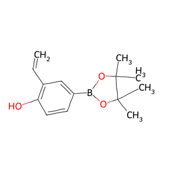 C=Cc1cc(B2OC(C)(C)C(C)(C)O2)ccc1O